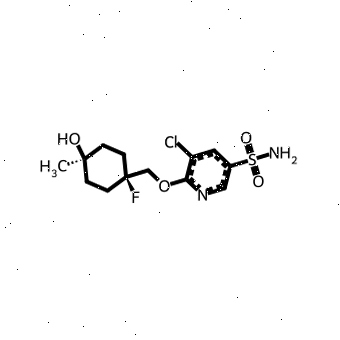 C[C@]1(O)CC[C@](F)(COc2ncc(S(N)(=O)=O)cc2Cl)CC1